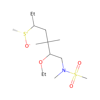 CCOC(CN(C)S(C)(=O)=O)C(C)(C)CC(CC)[S@@+](C)[O-]